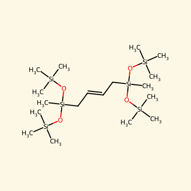 C[Si](C)(C)O[Si](C)(C/C=C/C[Si](C)(O[Si](C)(C)C)O[Si](C)(C)C)O[Si](C)(C)C